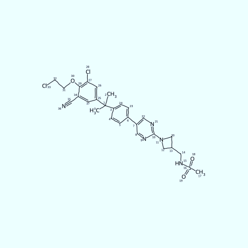 CC(C)(c1ccc(-c2cnc(N3CC(CNS(C)(=O)=O)C3)nc2)cc1)c1cc(Cl)c(OCCCl)c(C#N)c1